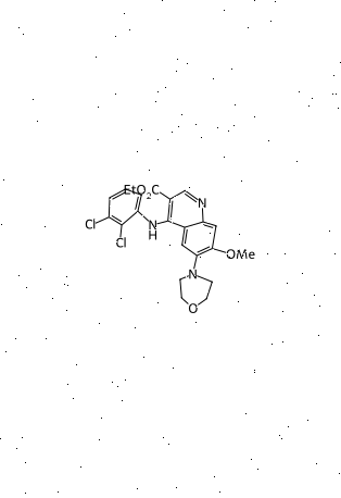 CCOC(=O)c1cnc2cc(OC)c(N3CCOCC3)cc2c1Nc1cccc(Cl)c1Cl